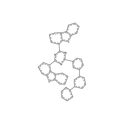 c1ccc(-c2cccc(-c3cccc(-c4nc(-c5cccc6c5sc5ccccc56)nc(-c5cccc6sc7ccccc7c56)n4)c3)c2)cc1